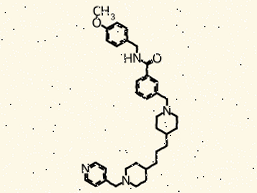 COc1ccc(CNC(=O)c2cccc(CN3CCC(CCCC4CCN(Cc5ccncc5)CC4)CC3)c2)cc1